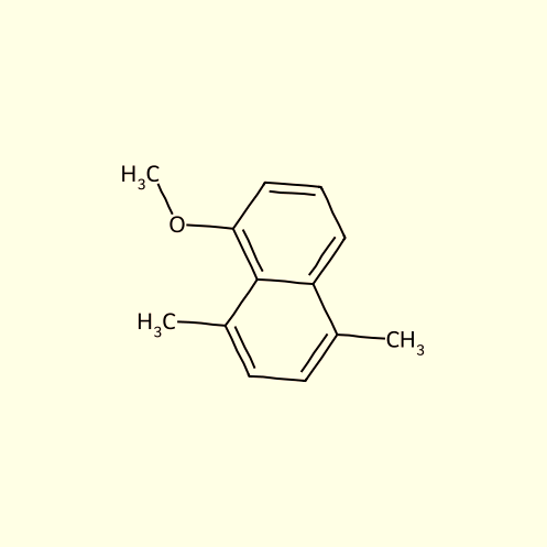 COc1cccc2c(C)ccc(C)c12